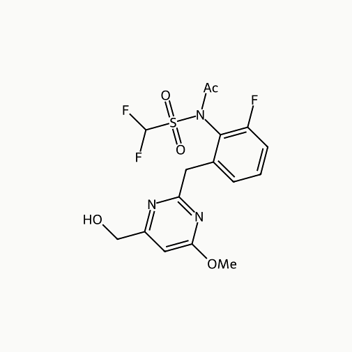 COc1cc(CO)nc(Cc2cccc(F)c2N(C(C)=O)S(=O)(=O)C(F)F)n1